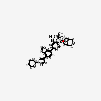 CC(C)(C)OC(=O)N1C2COCC1CC(Nc1ccc(-c3ccc(-c4cnn(C5CCCCO5)c4)c4ncsc34)nn1)C2